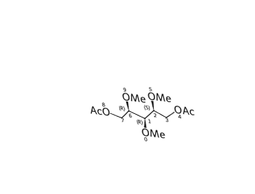 CO[C@H]([C@H](COC(C)=O)OC)[C@@H](COC(C)=O)OC